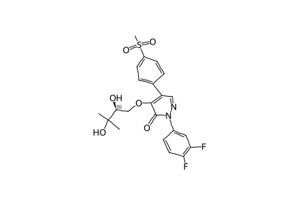 CC(C)(O)[C@@H](O)COc1c(-c2ccc(S(C)(=O)=O)cc2)cnn(-c2ccc(F)c(F)c2)c1=O